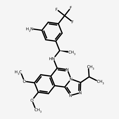 COc1cc2c(N[C@H](C)c3cc(N)cc(C(F)(F)F)c3)nn3c(C(C)C)nnc3c2cc1OC